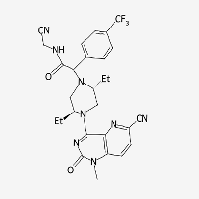 CC[C@H]1CN(C(C(=O)NCC#N)c2ccc(C(F)(F)F)cc2)[C@H](CC)CN1c1nc(=O)n(C)c2ccc(C#N)nc12